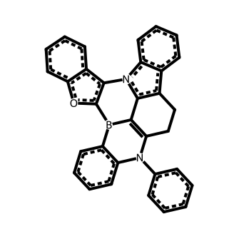 c1ccc(N2C3=C4B(c5ccccc52)c2oc5ccccc5c2-n2c4c(c4ccccc42)CC3)cc1